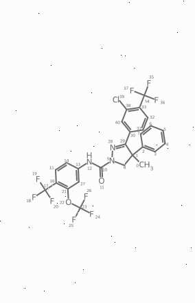 CC1(c2ccccc2)CN(C(=O)Nc2ccc(C(F)(F)F)c(OC(F)(F)F)c2)N=C1c1ccc(C(F)(F)F)c(Cl)c1